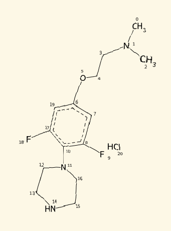 CN(C)CCOc1cc(F)c(N2CCNCC2)c(F)c1.Cl